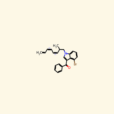 C=C/C=C\C=C/C(C)Cn1cc(C(=O)c2ccccc2)c2c(Br)cccc21